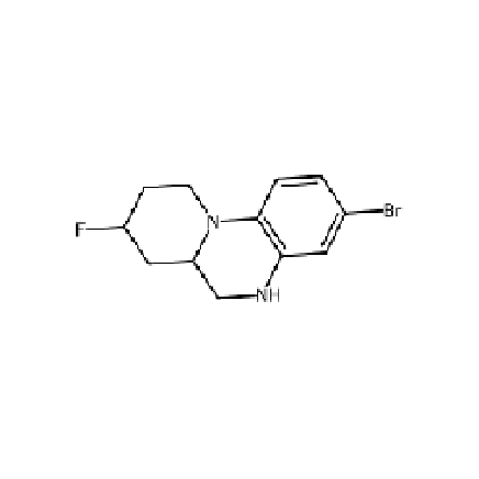 FC1CCN2c3ccc(Br)cc3NCC2C1